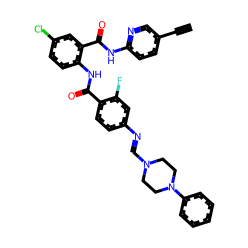 C#Cc1ccc(NC(=O)c2cc(Cl)ccc2NC(=O)c2ccc(N=CN3CCN(c4ccccc4)CC3)cc2F)nc1